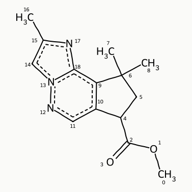 COC(=O)C1CC(C)(C)c2c1cnn1cc(C)nc21